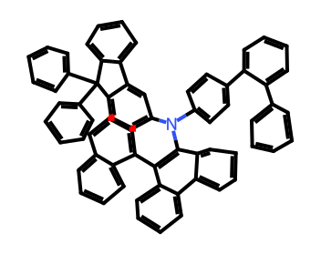 c1ccc(-c2ccccc2-c2ccc(N(c3ccc4c(c3)-c3ccccc3C4(c3ccccc3)c3ccccc3)c3c(-c4cccc5ccccc45)c4ccccc4c4ccccc34)cc2)cc1